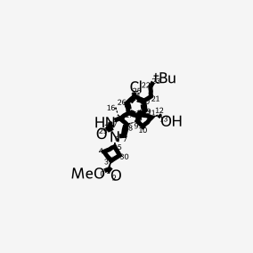 COC(=O)[C@H]1C[C@H](N2C=C([C@H]3C[C@@H](CO)C3)[C@](C)(c3ccc(CCC(C)(C)C)c(Cl)c3)NC2=O)C1